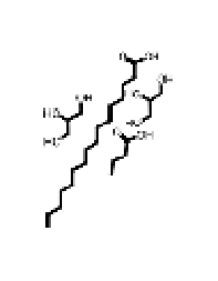 CCCC(=O)O.CCCCCCCCCCCCCCCC(=O)O.OCC(O)CO.OCC(O)CO